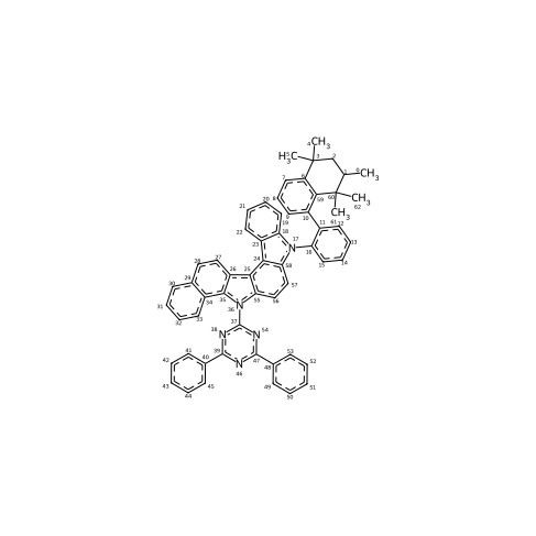 CC1CC(C)(C)c2cccc(-c3ccccc3-n3c4ccccc4c4c5c6ccc7ccccc7c6n(-c6nc(-c7ccccc7)nc(-c7ccccc7)n6)c5ccc43)c2C1(C)C